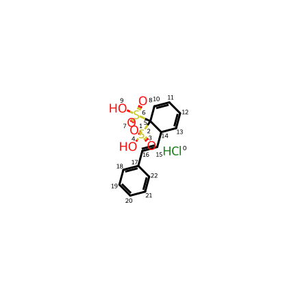 Cl.O=S(=O)(O)C1(S(=O)(=O)O)C=CC=CC1C=Cc1ccccc1